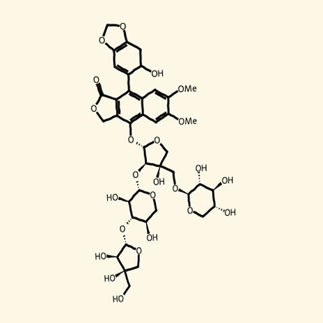 COc1cc2c(O[C@@H]3OC[C@](O)(CO[C@@H]4OC[C@@H](O)[C@H](O)[C@H]4O)[C@H]3O[C@@H]3OC[C@@H](O)[C@H](O[C@@H]4OC[C@](O)(CO)[C@H]4O)[C@H]3O)c3c(c(C4=CC5=C(CC4O)OCO5)c2cc1OC)C(=O)OC3